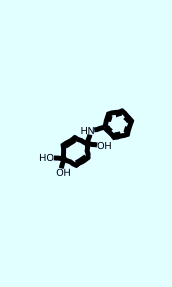 OC1(O)C=CC(O)(Nc2ccccc2)C=C1